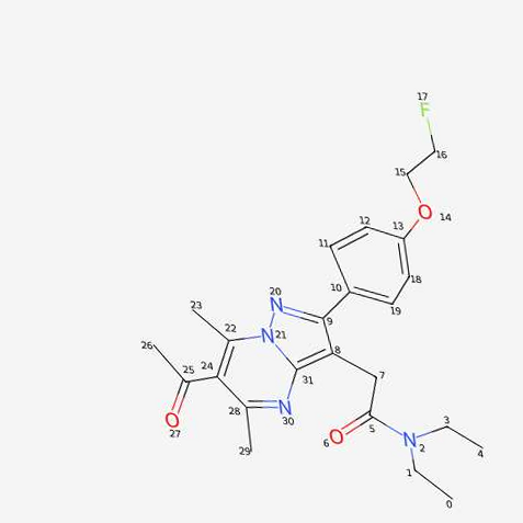 CCN(CC)C(=O)Cc1c(-c2ccc(OCCF)cc2)nn2c(C)c(C(C)=O)c(C)nc12